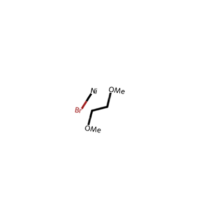 COCCOC.[Ni][Br]